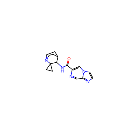 O=C(NC1C2CCN(CC2)C12CC2)c1cn2ccnc2cn1